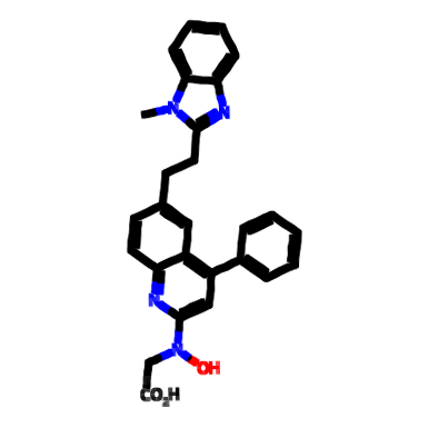 Cn1c(CCc2ccc3nc(N(O)CC(=O)O)cc(-c4ccccc4)c3c2)nc2ccccc21